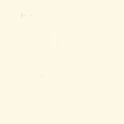 CCOC(C)c1ccccc1C